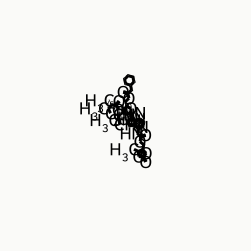 Cc1oc(=O)oc1COC(=O)Nc1ncnn2c([C@]3(C#N)O[C@H](COC(=O)CC4CCCCC4)[C@@H](OC(=O)[C@@H](C)C(C)C)[C@H]3O[Si](C)(C)C)ccc12